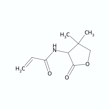 C=CC(=O)NC1C(=O)OCC1(C)C